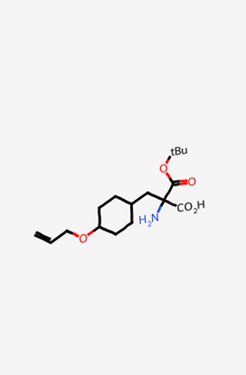 C=CCOC1CCC(CC(N)(C(=O)O)C(=O)OC(C)(C)C)CC1